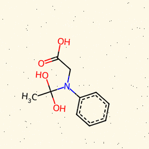 CC(O)(O)N(CC(=O)O)c1ccccc1